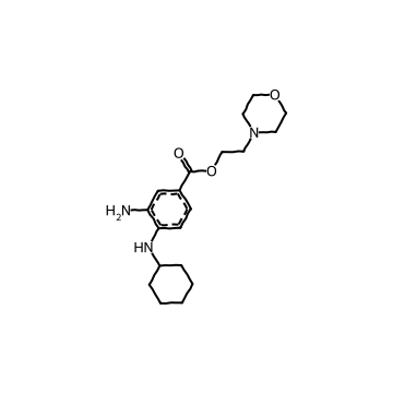 Nc1cc(C(=O)OCCN2CCOCC2)ccc1NC1CCCCC1